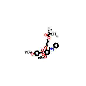 C=C(C)C(=O)OCCCCOC1=C(N=Nc2ccccc2)C=CC(OCCCC)(OC(=O)c2ccc(OCCCC)cc2)C1